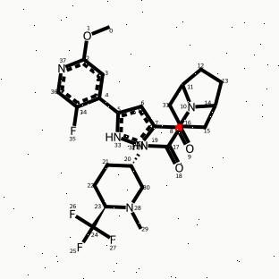 COc1cc(-c2cc(C(=O)N3C4CCC3CC(C(=O)N[C@H]3CC[C@H](C(F)(F)F)N(C)C3)C4)n[nH]2)c(F)cn1